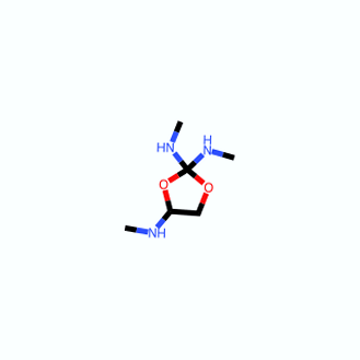 CNC1COC(NC)(NC)O1